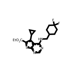 CCOC(=O)c1sc2ncnc(NCC3CCC(F)(F)CC3)c2c1C1CC1